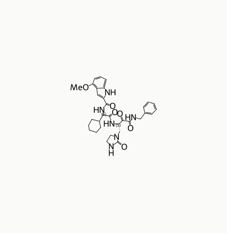 COc1cccc2[nH]c(C(=O)N[C@H](C(=O)N[C@@H](CN3CCNC3=O)C(=O)C(=O)NCc3ccccc3)C3CCCCC3)cc12